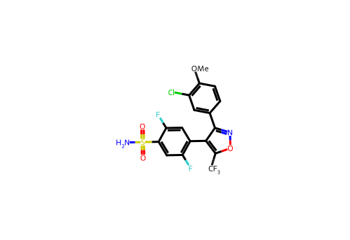 COc1ccc(-c2noc(C(F)(F)F)c2-c2cc(F)c(S(N)(=O)=O)cc2F)cc1Cl